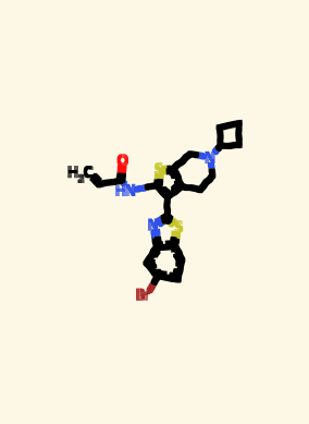 C=CC(=O)Nc1sc2c(c1-c1nc3cc(Br)ccc3s1)CCN(C1CCC1)C2